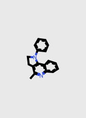 Cc1nc2ccccc2c2c1CCN2c1ccccc1